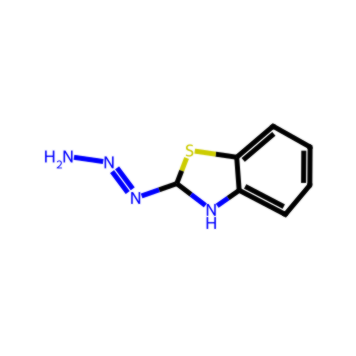 NN=NC1Nc2ccccc2S1